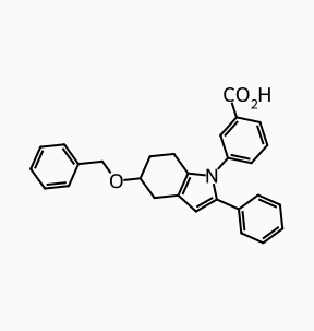 O=C(O)c1cccc(-n2c(-c3ccccc3)cc3c2CCC(OCc2ccccc2)C3)c1